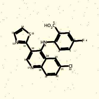 O=C(O)c1cc(F)ccc1Nc1c(-c2nccs2)cnc2ccc(Cl)cc12